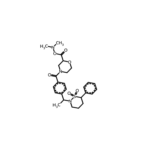 CC(c1ccc(C(=O)N2CCOC(C(=O)ON(C)C)C2)cc1)N1CCCC(c2ccccc2)S1(=O)=O